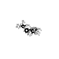 CC1=C(C)C(C)(C)CN1c1cccc(CC2(C)C(C)=C(C)N(C(C)(C)C)C2(C)C)c1